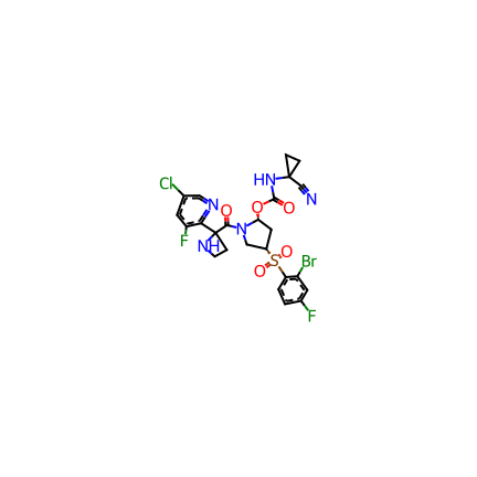 N#CC1(NC(=O)O[C@H]2C[C@@H](S(=O)(=O)c3ccc(F)cc3Br)CN2C(=O)C2(c3ncc(Cl)cc3F)CCN2)CC1